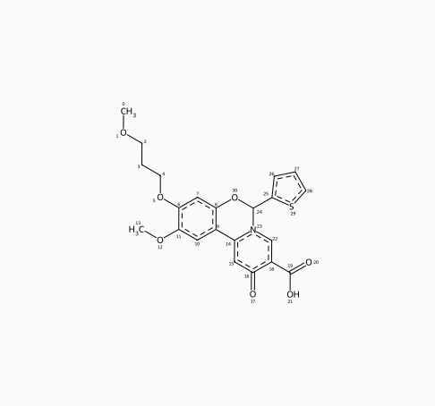 COCCCOc1cc2c(cc1OC)-c1cc(=O)c(C(=O)O)cn1C(c1cccs1)O2